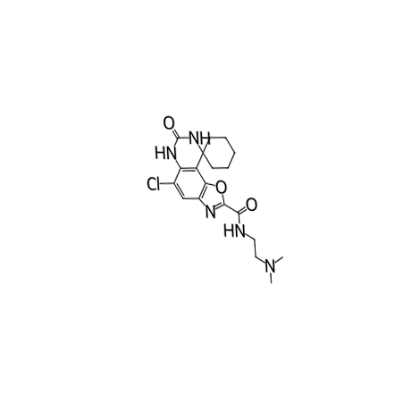 CN(C)CCNC(=O)c1nc2cc(Cl)c3c(c2o1)C1(CCCCC1)NC(=O)N3